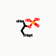 CCCCCCCCC(CCCCCC)OP(=O)(O)O